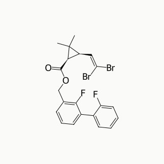 CC1(C)[C@H](C(=O)OCc2cccc(-c3ccccc3F)c2F)[C@@H]1C=C(Br)Br